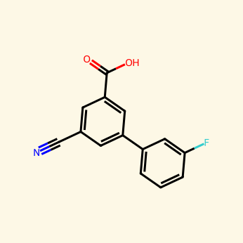 N#Cc1cc(C(=O)O)cc(-c2cccc(F)c2)c1